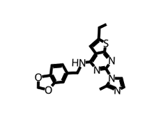 CCc1cc2c(NCc3ccc4c(c3)OCO4)nc(-n3ccnc3C)nc2s1